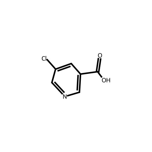 O=C(O)c1cncc(Cl)c1